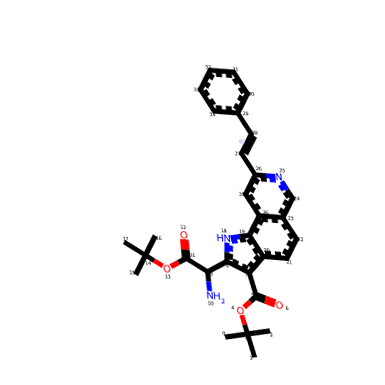 CC(C)(C)OC(=O)c1c(C(N)C(=O)OC(C)(C)C)[nH]c2c1ccc1cnc(/C=C/c3ccccc3)cc12